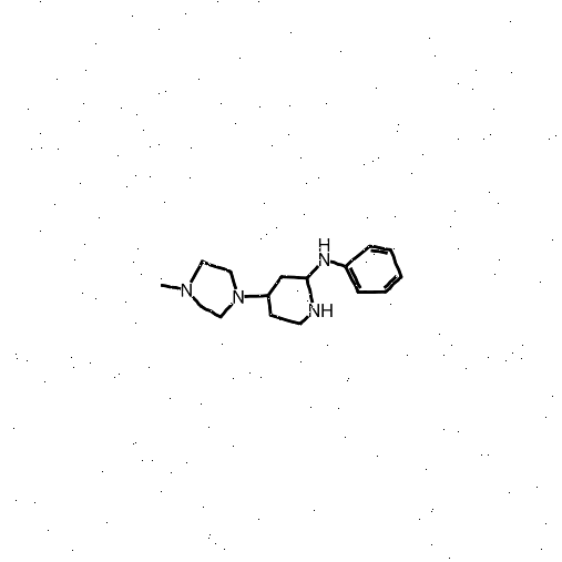 CN1CCN(C2CCNC(Nc3ccccc3)C2)CC1